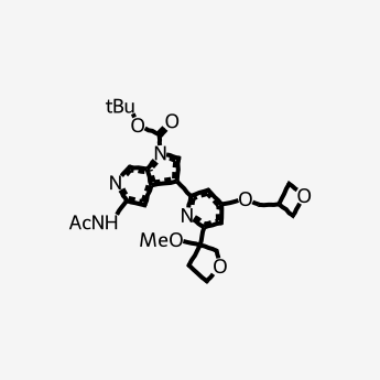 COC1(c2cc(OCC3COC3)cc(-c3cn(C(=O)OC(C)(C)C)c4cnc(NC(C)=O)cc34)n2)CCOC1